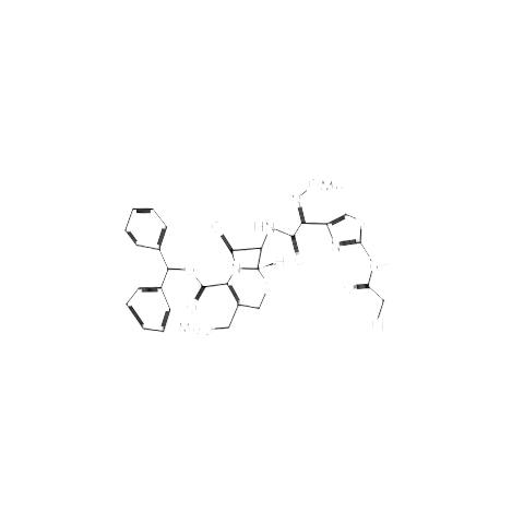 COCC1=C(C(=O)OC(c2ccccc2)c2ccccc2)N2C(=O)C(NC(=O)C(=NOC)c3csc(NC(=O)CCl)n3)[C@@H]2SC1